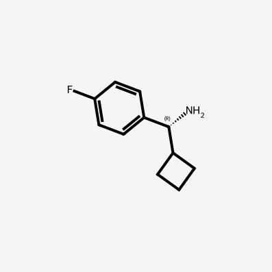 N[C@@H](c1ccc(F)cc1)C1CCC1